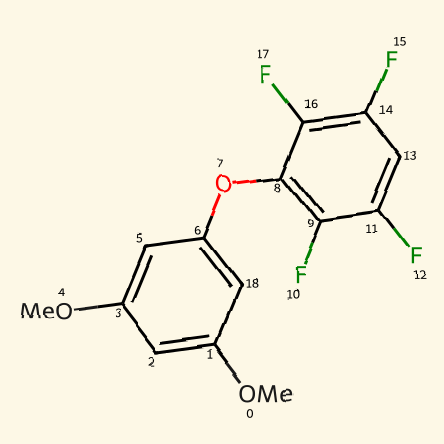 COc1cc(OC)cc(Oc2c(F)c(F)cc(F)c2F)c1